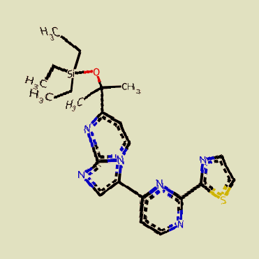 CC[Si](CC)(CC)OC(C)(C)c1ccn2c(-c3ccnc(-c4nccs4)n3)cnc2n1